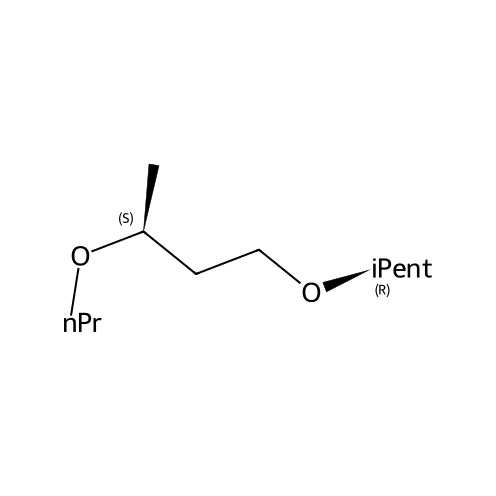 CCCO[C@@H](C)CCO[C@H](C)CCC